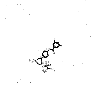 CC(C)S(=O)(=O)N[C@@H]1CCN(C)C[C@H]1c1ccc(NC(=O)c2cc(F)cc(F)c2)cc1